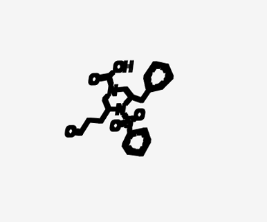 O=CCCC1CN(C(=O)O)CC(Cc2ccccc2)N1S(=O)(=O)c1ccccc1